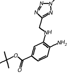 Cn1nnc(CNc2cc(C(=O)OC(C)(C)C)ccc2N)n1